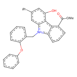 COC(=O)c1cccc2c1c1c(O)cc(C(C)C)cc1n2Cc1ccccc1Oc1ccccc1